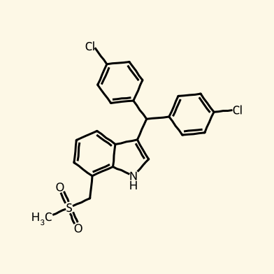 CS(=O)(=O)Cc1cccc2c(C(c3ccc(Cl)cc3)c3ccc(Cl)cc3)c[nH]c12